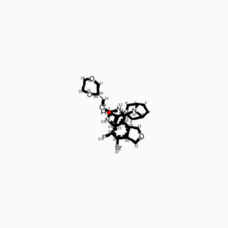 O=C(O)N1CC2CCC(C1)N2c1nc(OC[C@H]2COCCO2)nc2c(F)c(Br)c3c(c12)COC3